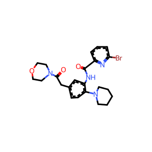 O=C(Nc1cc(CC(=O)N2CCOCC2)ccc1N1CCCCC1)c1cccc(Br)n1